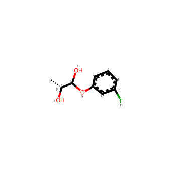 C[C@@H](O)C(O)Oc1cccc(F)c1